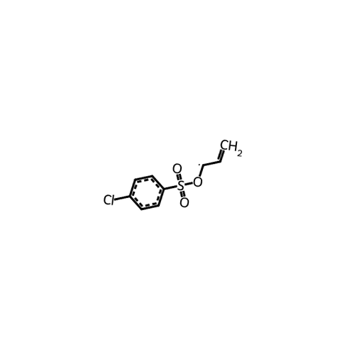 C=C[CH]OS(=O)(=O)c1ccc(Cl)cc1